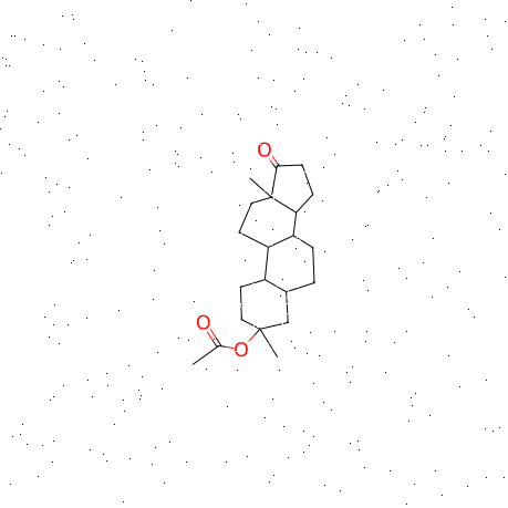 CC(=O)OC1(C)CCC2C(CCC3C2CCC2(C)C(=O)CCC32)C1